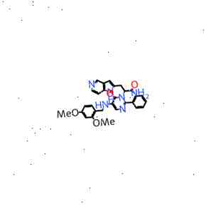 COc1ccc(CNc2cnc(-c3ccccc3)n(C(Cc3cc4cnccc4[nH]3)C(N)=O)c2=O)c(OC)c1